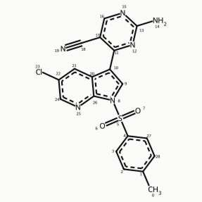 Cc1ccc(S(=O)(=O)n2cc(-c3nc(N)ncc3C#N)c3cc(Cl)cnc32)cc1